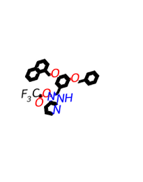 O=C(ON1c2cccnc2NC1c1cc(OCc2ccccc2)cc(OCc2cccc3ccccc23)c1)C(F)(F)F